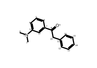 CN(C)c1cccc(C(=O)Cc2ccccc2)c1